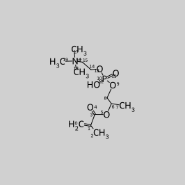 C=C(C)C(=O)OC(C)COP(=O)(O)OCC[N+](C)(C)C